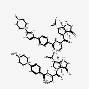 CC(C)CC(NC(=O)c1ccc(-c2csc(N3CCN(C)CC3)n2)cc1)C(=O)N1C[C@H](C(F)F)[C@H]2OCC(=O)[C@H]21.CCCN1CCN(c2ccc(C(=O)NC(CC(C)C)C(=O)N3C[C@H](C(F)F)[C@H]4OCC(=O)[C@H]43)cc2)CC1